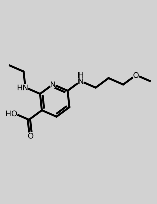 CCNc1nc(NCCCOC)ccc1C(=O)O